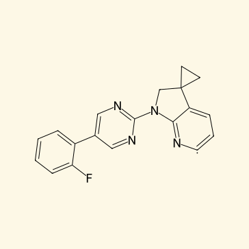 Fc1ccccc1-c1cnc(N2CC3(CC3)c3cc[c]nc32)nc1